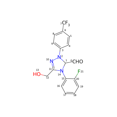 O=CC1N(c2ccc(C(F)(F)F)cc2)N=C(CO)N1c1ccccc1F